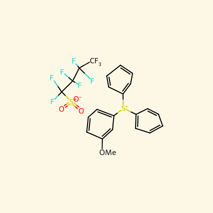 COc1cccc([S+](c2ccccc2)c2ccccc2)c1.O=S(=O)([O-])C(F)(F)C(F)(F)C(F)(F)C(F)(F)F